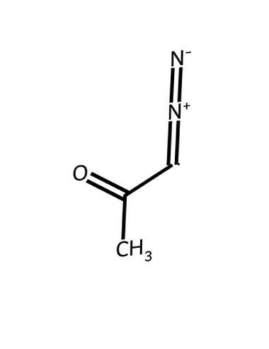 CC(=O)[C]=[N+]=[N-]